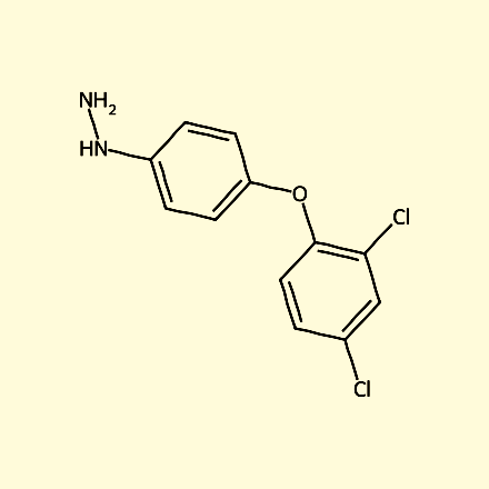 NNc1ccc(Oc2ccc(Cl)cc2Cl)cc1